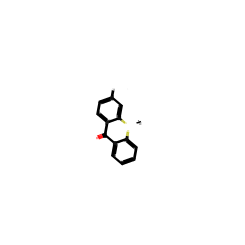 C=C.Cc1ccc2c(=O)c3ccccc3sc2c1